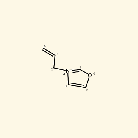 C=CC[n+]1ccoc1